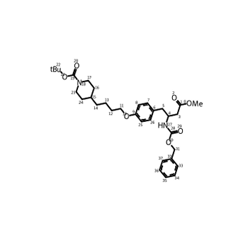 COC(=O)CC(Cc1ccc(OCCCCC2CCN(C(=O)OC(C)(C)C)CC2)cc1)NC(=O)OCc1ccccc1